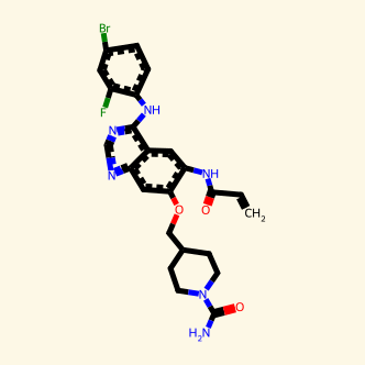 C=CC(=O)Nc1cc2c(Nc3ccc(Br)cc3F)ncnc2cc1OCC1CCN(C(N)=O)CC1